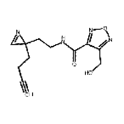 C#CCCC1(CCNC(=O)c2nonc2CO)C=N1